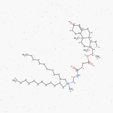 CCCCCCCCCCCC[N+](C)(CCCCCCCCCCCC)CCNC(=O)CCC(=O)O[C@@H](C)[C@H]1CCC2C3CCC4=CC(=O)CC[C@]4(C)C3CC[C@@]21C